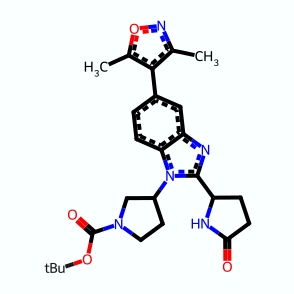 Cc1noc(C)c1-c1ccc2c(c1)nc(C1CCC(=O)N1)n2C1CCN(C(=O)OC(C)(C)C)C1